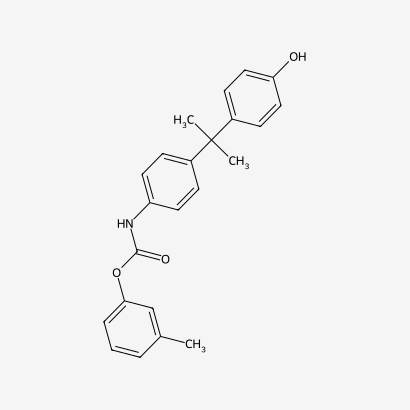 Cc1cccc(OC(=O)Nc2ccc(C(C)(C)c3ccc(O)cc3)cc2)c1